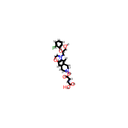 COCC(CN1CCOc2cc3c(c(C)c21)CCN(OC(=O)/C=C/C(=O)O)CC3)Oc1ccccc1F